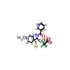 CN1CCC(S)(C(NC(=O)c2cccnc2)C(=O)O)CC1.O=C(O)C(F)(F)F